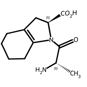 C[C@H](N)C(=O)N1C2=C(CCCC2)C[C@H]1C(=O)O